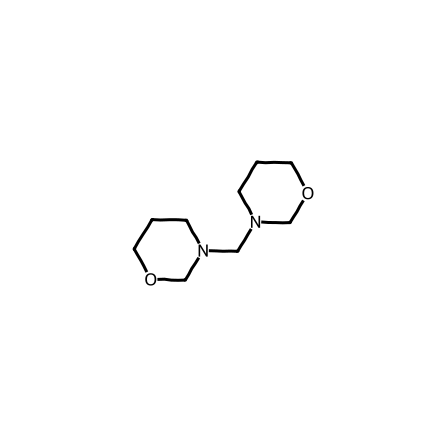 C1COCN(CN2CCCOC2)C1